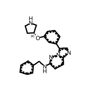 c1ccc(CNc2ccc3ncc(-c4cccc(O[C@@H]5CCNC5)c4)n3n2)cc1